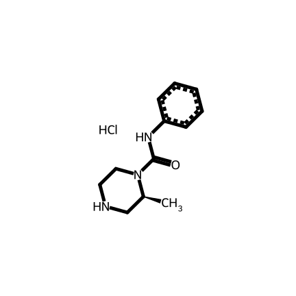 C[C@H]1CNCCN1C(=O)Nc1ccccc1.Cl